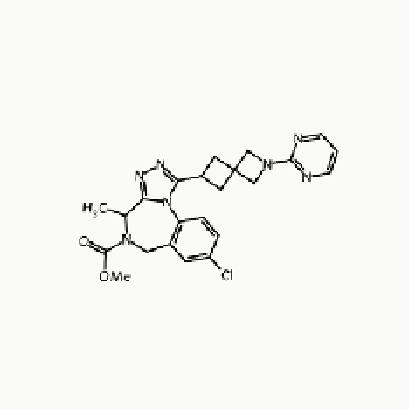 COC(=O)N1Cc2cc(Cl)ccc2-n2c(C3CC4(C3)CN(c3ncccn3)C4)nnc2C1C